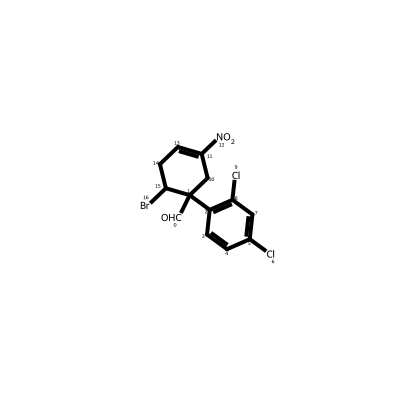 O=CC1(c2ccc(Cl)cc2Cl)CC([N+](=O)[O-])=CCC1Br